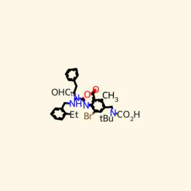 CCc1ccccc1CNN(c1nc2c(Br)cc(CN(C(=O)O)C(C)(C)C)c(C)c2c(=O)o1)[C@H](C=O)Cc1ccccc1